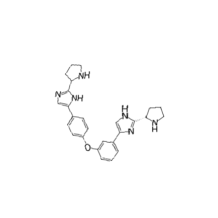 c1cc(Oc2ccc(-c3cnc(C4CCCN4)[nH]3)cc2)cc(-c2c[nH]c([C@@H]3CCCN3)n2)c1